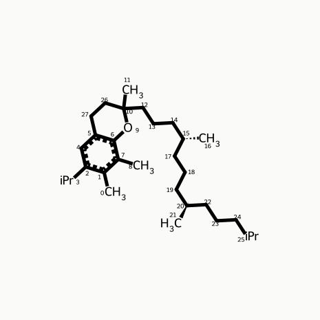 Cc1c(C(C)C)cc2c(c1C)OC(C)(CCC[C@H](C)CCC[C@H](C)CCCC(C)C)CC2